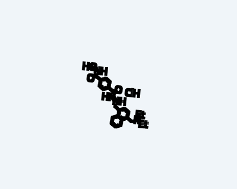 CCN(CC)Cc1ccc(CNNC(=O)c2ccc(C(=O)NO)cc2)c2ccccc12.Cl